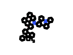 CC1(c2ccccc2)c2ccccc2-c2c(-c3ccc(N(c4ccc(-c5cccc6c7ccccc7n(-c7ccccc7)c56)cc4)c4ccccc4-c4cccc5cccc(-c6ccccc6)c45)cc3)cccc21